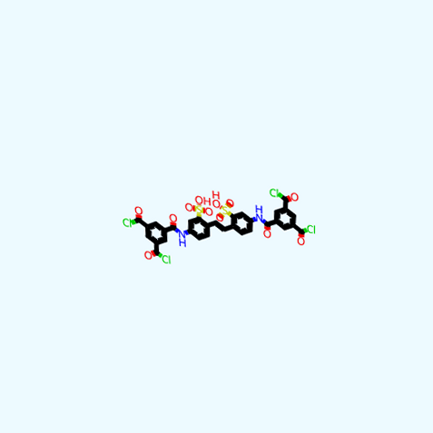 O=C(Cl)c1cc(C(=O)Cl)cc(C(=O)Nc2ccc(/C=C/c3ccc(NC(=O)c4cc(C(=O)Cl)cc(C(=O)Cl)c4)cc3S(=O)(=O)O)c(S(=O)(=O)O)c2)c1